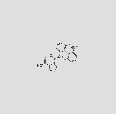 CNc1cccc(C)c1-c1c(C)cccc1NC(=O)N1CCCC1C(=O)O